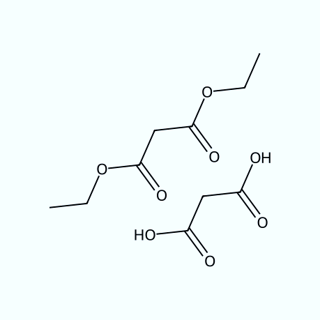 CCOC(=O)CC(=O)OCC.O=C(O)CC(=O)O